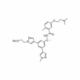 COCCn1cc(-c2cc(-c3cnn(C)c3)cc([C@@H](C)NC(=O)c3cc(OCCN(C)C)ccc3C)c2)cn1